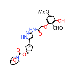 COc1cc(O)c(C=O)c(OCC(=O)Nc2cc([C@H]3CC[C@@H](OC(=O)N4CC5CC(C4)O5)C3)[nH]n2)c1